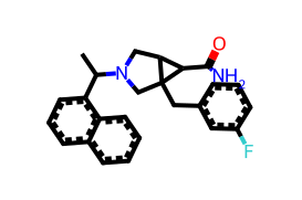 CC(c1cccc2ccccc12)N1CC2C(C(N)=O)C2(Cc2cccc(F)c2)C1